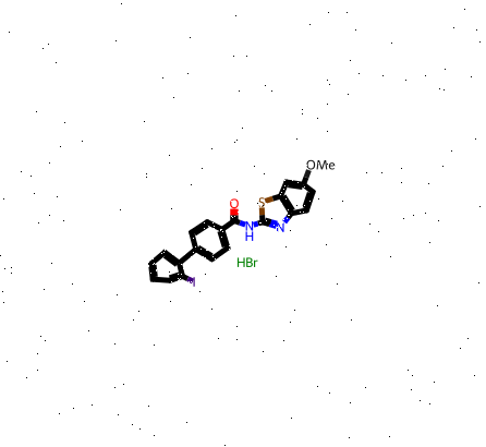 Br.COc1ccc2nc(NC(=O)c3ccc(-c4ccccc4I)cc3)sc2c1